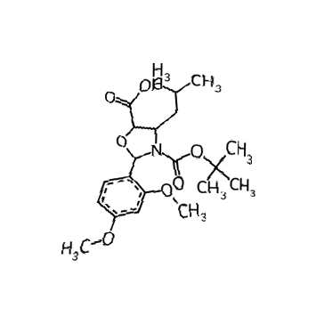 COc1ccc(C2OC(C(=O)O)C(CC(C)C)N2C(=O)OC(C)(C)C)c(OC)c1